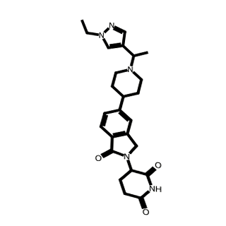 CCn1cc(C(C)N2CCC(c3ccc4c(c3)CN(C3CCC(=O)NC3=O)C4=O)CC2)cn1